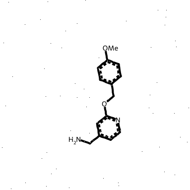 COc1ccc(COc2cc(CN)ccn2)cc1